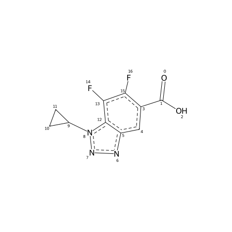 O=C(O)c1cc2nnn(C3CC3)c2c(F)c1F